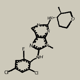 C[C@H]1COCC[C@@H]1Nc1ncc2nc(Nc3c(F)cc(Cl)cc3Cl)n(C)c2n1